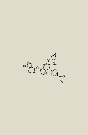 C=CC(=O)N1CCN(c2nc(O[C@@H]3CN(C)C[C@H]3OC)nc3c(Oc4c(C)ccc5[nH]ncc45)ccnc23)CC1